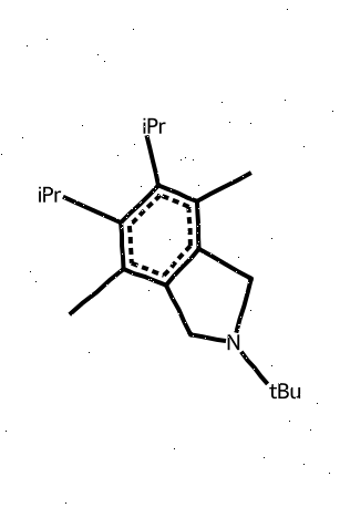 Cc1c2c(c(C)c(C(C)C)c1C(C)C)CN(C(C)(C)C)C2